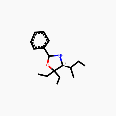 CCC(C)[C@@H]1NC(c2ccccc2)OC1(CC)CC